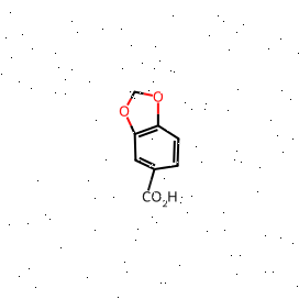 O=C(O)c1ccc2c(c1)O[CH]O2